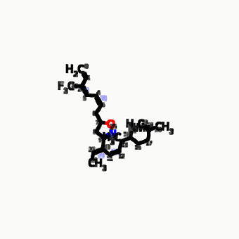 C=C/C(=C\C=C/CC1CC(C(/C=C\C(C)C(CCC(=C)C)NC)=C/C)=NO1)C(F)(F)F